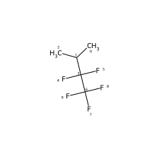 CC(C)C(F)(F)C(F)(F)F